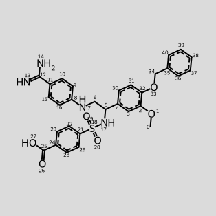 COc1cc(C(CNc2ccc(C(=N)N)cc2)NS(=O)(=O)c2ccc(C(=O)O)cc2)ccc1OCc1ccccc1